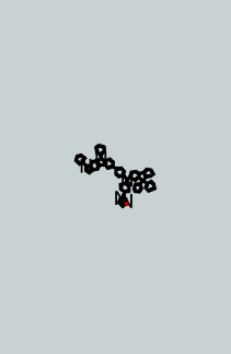 c1ccc(-n2ccc3cc4c5cc(-c6ccc(N(c7ccc(-c8ncccn8)cc7)c7ccc8c(c7)C(c7ccccc7)(c7ccccc7)c7ccccc7-8)cc6)ccc5n(-c5ccccc5)c4cc32)cc1